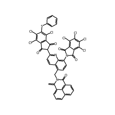 C=c1c2cccc3cccc(c(=O)n1Cc1ccc(N4C(=O)c5c(Cl)c(Cl)c(Cl)c(Cl)c5C4=O)c4nc(C5C(=O)c6c(Cl)c(Cl)c(Sc7ccccc7)c(Cl)c6C5=O)ccc14)c32